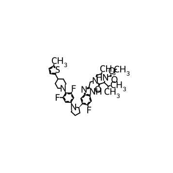 CCCN(Cc1nc2cc([C@H]3CCCN3c3cc(F)c(N4CCC(c5ccc(C)s5)CC4)c(F)c3)c(F)cc2[nH]1)C(=O)C(NC(=O)OC)C(C)C